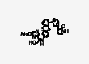 COc1cncc(C(CO)Nc2ccc3c(c2)Sc2cccc(C4CN(c5ccc[nH]c5=O)CCO4)c2S3)n1